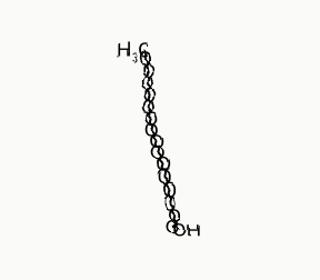 CCOCCOCCOCCOCCOCCOCCOCCOCCOCCOCCOCCOCCOCCOCCC(=O)O